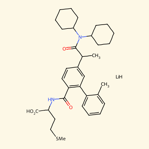 CSCCC(NC(=O)c1ccc(C(C)C(=O)N(C2CCCCC2)C2CCCCC2)cc1-c1ccccc1C)C(=O)O.[LiH]